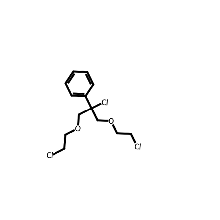 ClCCOCC(Cl)(COCCCl)c1ccccc1